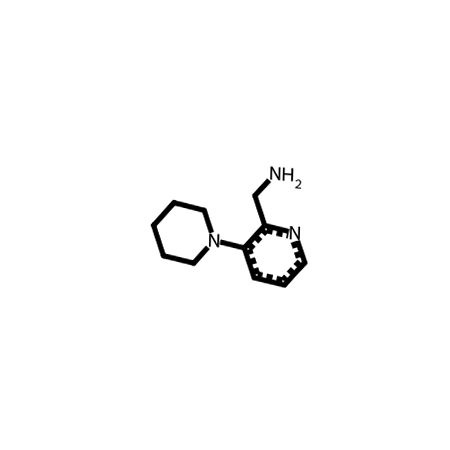 NCc1ncccc1N1CCCCC1